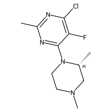 Cc1nc(Cl)c(F)c(N2CCN(C)C[C@H]2C)n1